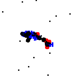 Cc1ccccc1/C(N)=C/C(=C(N)N)N1CC2CCC(C1)N2c1cccc(OCCN2CCN(C(=O)CN3CCC(c4ccc(OC5CCC(=O)NC5=O)cc4)CC3)CC2)c1